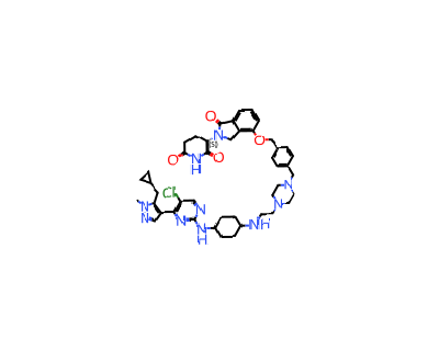 Cn1ncc(-c2nc(NC3CCC(NCCN4CCN(Cc5ccc(COc6cccc7c6CN([C@H]6CCC(=O)NC6=O)C7=O)cc5)CC4)CC3)ncc2Cl)c1CC1CC1